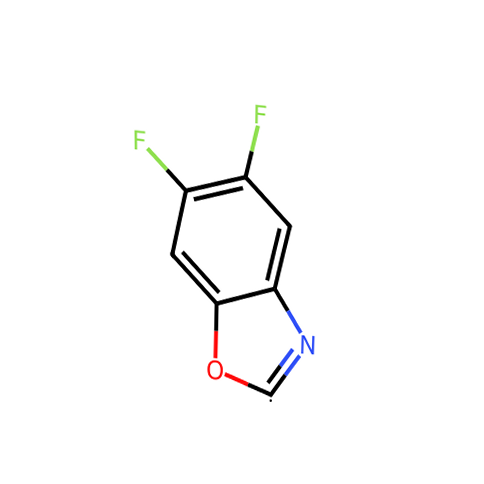 Fc1cc2n[c]oc2cc1F